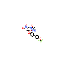 CC1(C)NC(=O)N(CC(N(O)C=O)C(C)(C)Oc2ccc(-c3ccc(OC(F)(F)F)cc3)cc2)C1=O